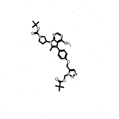 Cc1c(-c2ccc(OCc3cnnn3COC(=O)C(C)(C)C)cc2)c2c(N)ncnc2n1C1CCN(C(=O)OC(C)(C)C)C1